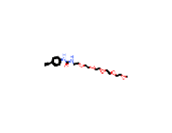 C#Cc1ccc(NC(=O)NCCOCCOCCOCCOCCOC)cc1